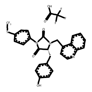 O=C(O)C(F)(F)F.O=C1[C@@H](Cc2ccc(O)cc2)N(Cc2ccnc3ccccc23)C(=O)N1c1ccc(SC(F)(F)F)cc1